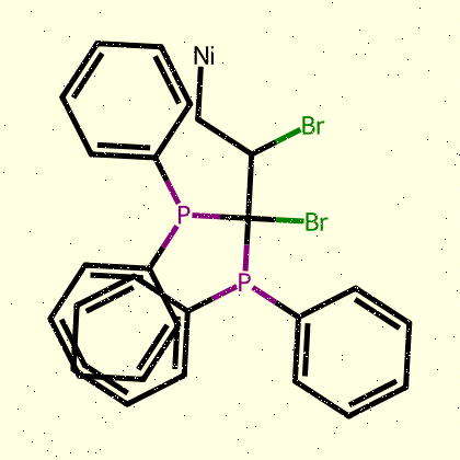 [Ni][CH2]C(Br)C(Br)(P(c1ccccc1)c1ccccc1)P(c1ccccc1)c1ccccc1